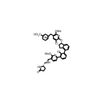 COc1nc(-c2cccc(-c3cccc4c3CC[C@@H]4Oc3nc(OC)c(CN4CC5(C(=O)O)CCC4CC5)cc3Cl)c2Cl)ccc1CNC[C@@H]1CCC(=O)N1